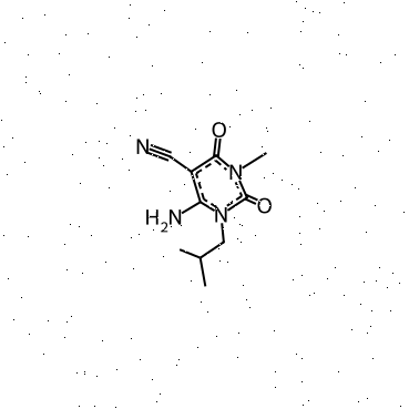 CC(C)Cn1c(N)c(C#N)c(=O)n(C)c1=O